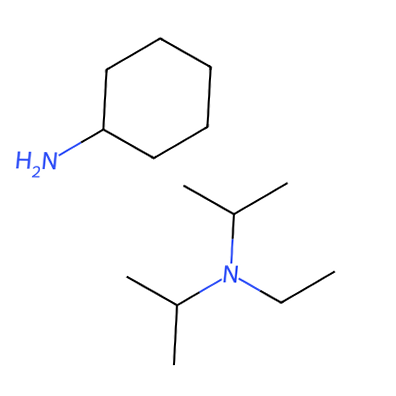 CCN(C(C)C)C(C)C.NC1CCCCC1